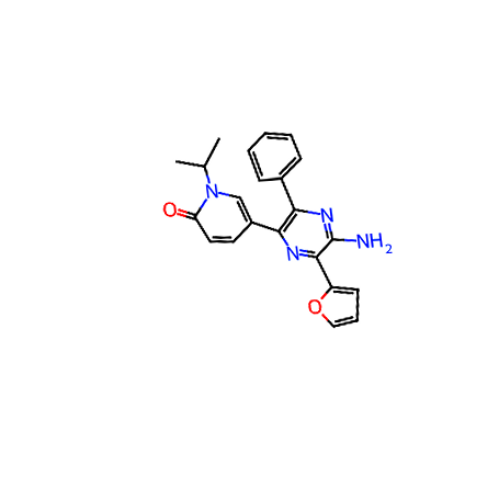 CC(C)n1cc(-c2nc(-c3ccco3)c(N)nc2-c2ccccc2)ccc1=O